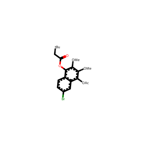 COc1c(OC)c(OC(=O)CC(C)(C)C)c2ccc(Br)cc2c1OC(C)=O